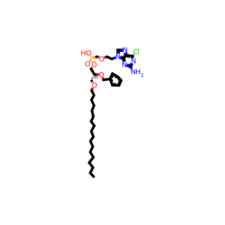 CCCCCCCCCCCCCCCCCCOC[C@H](COP(=O)(O)COCCn1cnc2c(Cl)nc(N)nc21)OCc1ccccc1